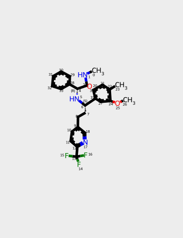 CNC(=O)[C@H](N[C@@H](CCc1ccc(C(F)(F)F)nc1)c1ccc(C)c(OC)c1)c1ccccc1